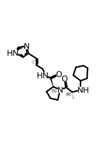 C[C@@H](NC1CCCCC1)C(=O)N1CCC[C@H]1C(=O)NC/C=C/c1c[nH]cn1